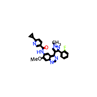 COc1cc2ncnc(-c3cn(C)nc3-c3ccccc3F)c2cc1NC(=O)c1ccc(C2CC2)nc1